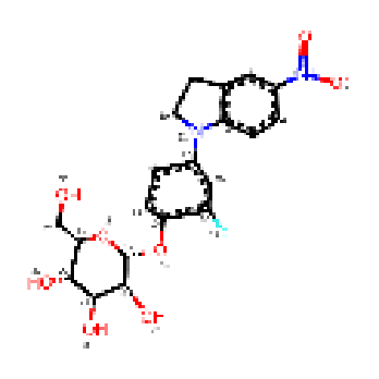 O=[N+]([O-])c1ccc2c(c1)CCN2c1ccc(O[C@H]2O[C@H](CO)[C@@H](O)[C@H](O)[C@@H]2O)c(F)c1